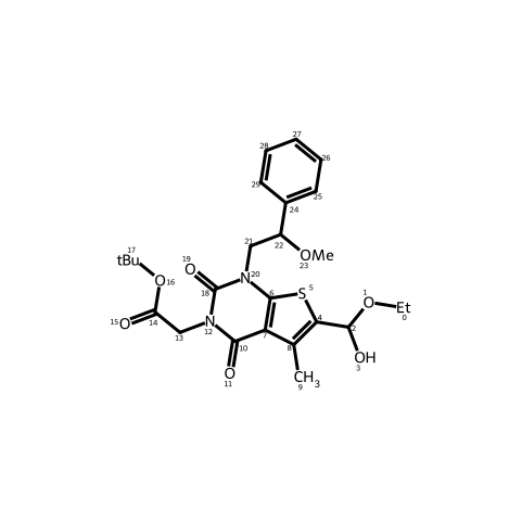 CCOC(O)c1sc2c(c1C)c(=O)n(CC(=O)OC(C)(C)C)c(=O)n2CC(OC)c1ccccc1